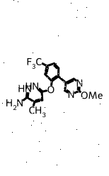 COc1ncc(-c2ccc(C(F)(F)F)cc2OC(=N)/C=C(/C)C(=N)N)cn1